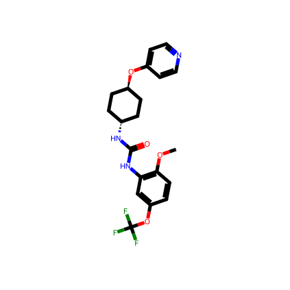 COc1ccc(OC(F)(F)F)cc1NC(=O)N[C@H]1CC[C@H](Oc2ccncc2)CC1